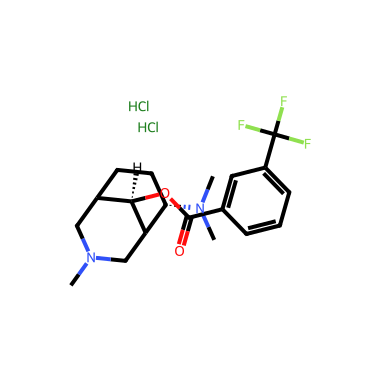 CN1CC2CC[C@H](N(C)C)C(C1)[C@@H]2OC(=O)c1cccc(C(F)(F)F)c1.Cl.Cl